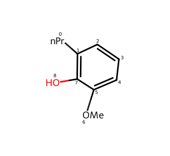 CCCc1cccc(OC)c1O